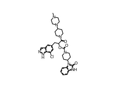 CN1CCN(C2CCN(C(=O)C(Cc3cc(Cl)c4[nH]ncc4c3)OC(=O)N3CCC(n4c(=O)[nH]c5ccccc54)CC3)CC2)CC1